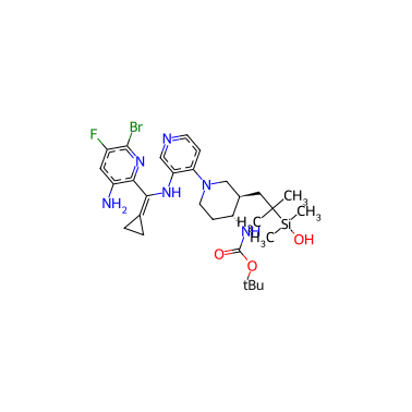 CC(C)(C)OC(=O)N[C@@H]1CCN(c2ccncc2NC(=C2CC2)c2nc(Br)c(F)cc2N)C[C@H]1CC(C)(C)[Si](C)(C)O